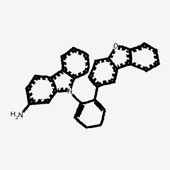 Nc1ccc2c3ccccc3n(C3=CCCC=C3c3ccc4oc5ccccc5c4c3)c2c1